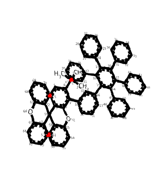 CC(C)(C)c1ccc2c(c1-c1cccc(-c3c(-c4ccccc4)c(-c4ccccc4)c(-c4ccccc4)c(-c4ccccc4)c3-c3ccccc3)c1)Oc1ccccc1C21c2ccccc2Oc2ccccc21